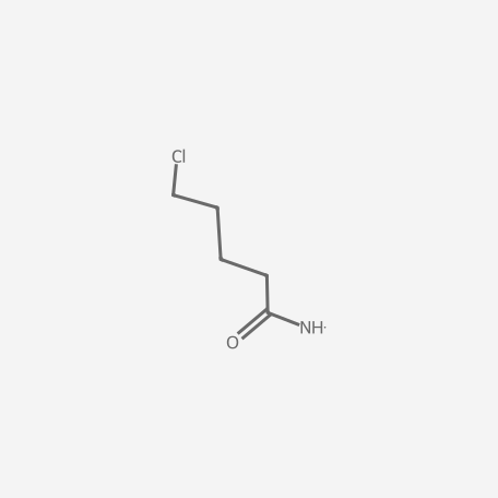 [NH]C(=O)CCCCCl